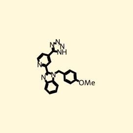 COc1ccc(Cn2c(-c3cc(-c4nnn[nH]4)ccn3)nc3ccccc32)cc1